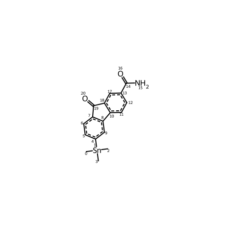 [CH3][Sn]([CH3])([CH3])[c]1ccc2c(c1)-c1ccc(C(N)=O)cc1C2=O